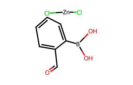 O=Cc1ccccc1B(O)O.[Cl][Zn][Cl]